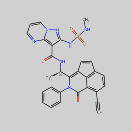 C#Cc1ccc2c3c(c([C@@H](C)NC(=O)c4c(NS(=O)(=O)NC)nn5cccnc45)n(-c4ccccc4)c(=O)c13)C=C2